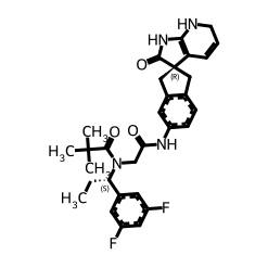 CC[C@@H](c1cc(F)cc(F)c1)N(CC(=O)Nc1ccc2c(c1)C[C@@]1(C2)C(=O)NC2=C1C=CCN2)C(=O)C(C)(C)C